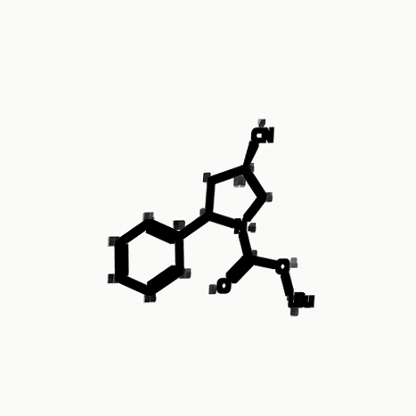 CC(C)(C)OC(=O)N1C[C@H](C#N)CC1c1ccccc1